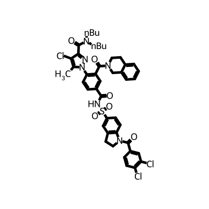 CCCCN(CCCC)C(=O)c1nn(-c2ccc(C(=O)NS(=O)(=O)c3ccc4c(c3)CCN4C(=O)c3ccc(Cl)c(Cl)c3)cc2C(=O)N2CCc3ccccc3C2)c(C)c1Cl